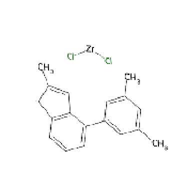 CC1=Cc2c(cccc2-c2cc(C)cc(C)c2)[CH]1.[Cl][Zr][Cl]